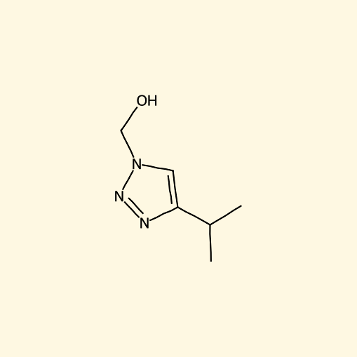 CC(C)c1cn(CO)nn1